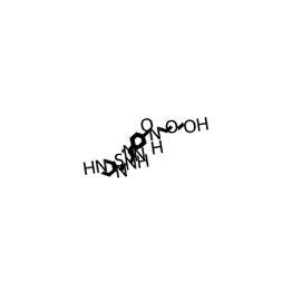 Cn1c(Nc2nc3c(s2)CNCC3)nc2cc(C(=O)NCCOCCO)ccc21